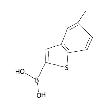 Cc1ccc2sc(B(O)O)cc2c1